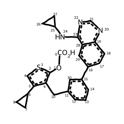 O=C(O)Oc1scc(C2CC2)c1Cc1cccc(-c2ccc3ncnc(NC4CC4)c3c2)c1